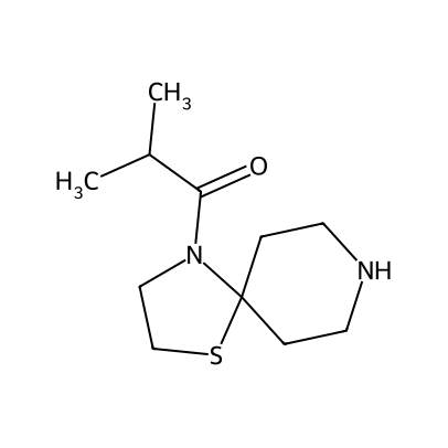 CC(C)C(=O)N1CCSC12CCNCC2